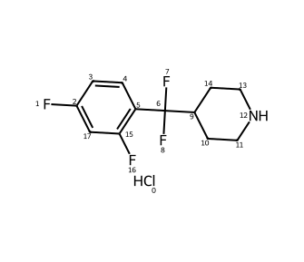 Cl.Fc1ccc(C(F)(F)C2CCNCC2)c(F)c1